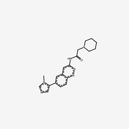 Cn1cncc1-c1ccc2nnc(NC(=O)CN3CCCCC3)cc2c1